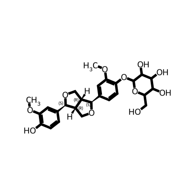 COc1cc([C@H]2OC[C@H]3[C@@H]2CO[C@@H]3c2ccc(OC3OC(CO)C(O)C(O)C3O)c(OC)c2)ccc1O